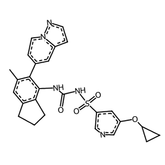 Cc1cc2c(c(NC(=O)NS(=O)(=O)c3cncc(OC4CC4)c3)c1-c1ccn3nccc3c1)CCC2